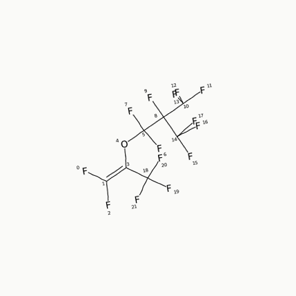 FC(F)=C(OC(F)(F)C(F)(C(F)(F)F)C(F)(F)F)C(F)(F)F